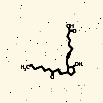 CCCCCCC(=O)C=CC1CCC(O)C1CC#CCCCCC(=O)O